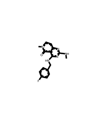 CNc1nc(NCc2ccc(F)cc2)c2c(=O)n(C)ccc2n1